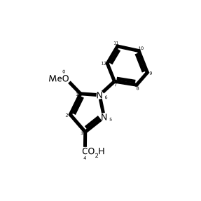 COc1cc(C(=O)O)nn1-c1ccccc1